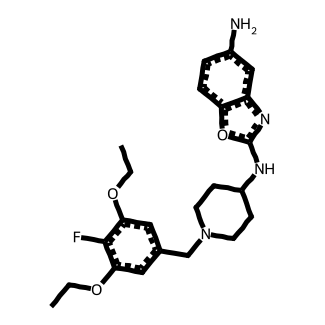 CCOc1cc(CN2CCC(Nc3nc4cc(N)ccc4o3)CC2)cc(OCC)c1F